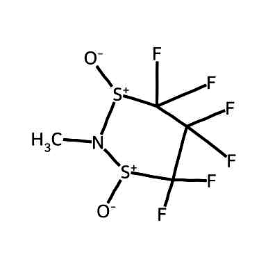 CN1[S+]([O-])C(F)(F)C(F)(F)C(F)(F)[S+]1[O-]